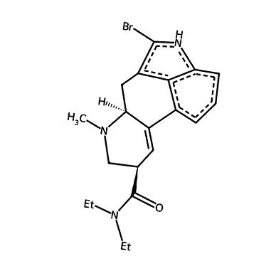 CCN(CC)C(=O)[C@@H]1C=C2c3cccc4[nH]c(Br)c(c34)C[C@@H]2N(C)C1